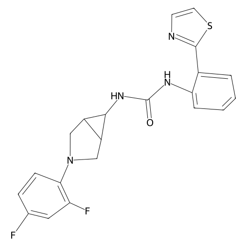 O=C(Nc1ccccc1-c1nccs1)NC1C2CN(c3ccc(F)cc3F)CC21